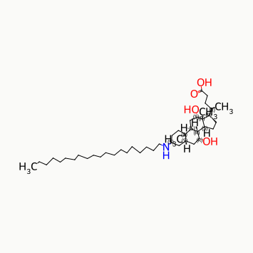 CCCCCCCCCCCCCCCCCCCCN[C@H]1CC[C@@]2(C)[C@@H](C1)C[C@@H](O)[C@@H]1[C@@H]2C[C@H](O)[C@]2(C)[C@@H]([C@H](C)CCC(=O)O)CC[C@@H]12